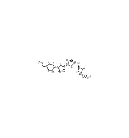 CC(C)Cc1ccc(-c2cc(-c3csc(CN4CC(C(=O)O)C4)c3)on2)cc1